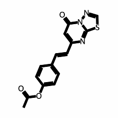 CC(=O)Oc1ccc(/C=C/c2cc(=O)n3ncsc3n2)cc1